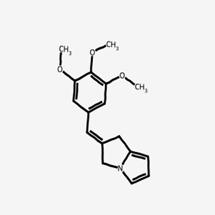 COc1cc(/C=C2\Cc3cccn3C2)cc(OC)c1OC